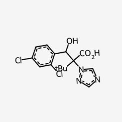 CC(C)(C)C(C(=O)O)(C(O)c1ccc(Cl)cc1Cl)n1cncn1